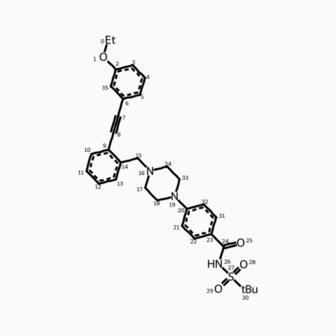 CCOc1cccc(C#Cc2ccccc2CN2CCN(c3ccc(C(=O)NS(=O)(=O)C(C)(C)C)cc3)CC2)c1